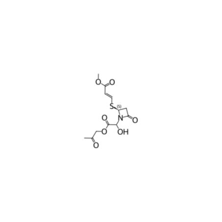 COC(=O)C=CS[C@H]1CC(=O)N1C(O)C(=O)OCC(C)=O